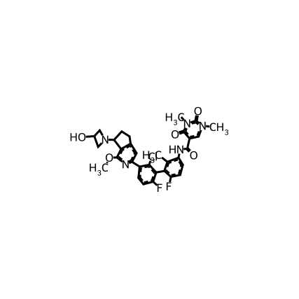 COc1nc(-c2ccc(F)c(-c3c(F)ccc(NC(=O)c4cn(C)c(=O)n(C)c4=O)c3C)c2Cl)cc2c1C(N1CC(O)C1)CC2